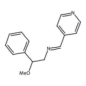 COC(CN=Cc1ccncc1)c1ccccc1